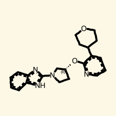 c1cnc(O[C@@H]2CCN(c3nc4ccccc4[nH]3)C2)c(C2CCOCC2)c1